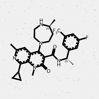 Cc1cc2c(N3CCN[C@@H](C)CC3)c(C(=O)N[C@@H](C)c3cc(F)cc(C(F)(F)F)c3)c(=O)n(C)c2c(C2CC2)n1